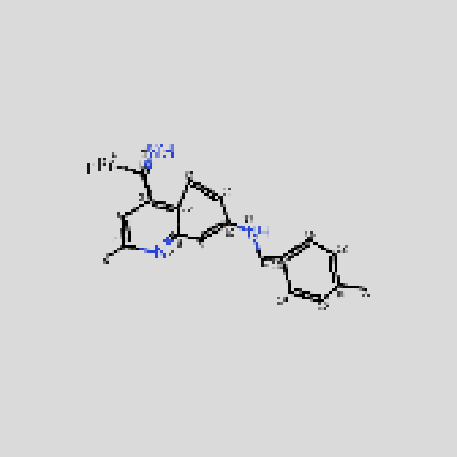 CCCC(=N)c1cc(C)nc2cc(NCc3ccc(C)cc3)ccc12